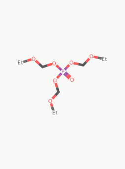 CCOCOP(=O)(OCOCC)OCOCC